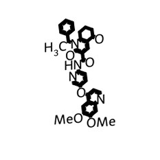 COc1cc2nccc(Oc3ccc(NC(=O)c4cc5c(n([C@H](C)c6ccccc6)c4=O)CCCC5=O)nc3)c2cc1OC